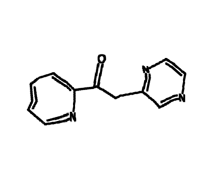 O=C(Cc1cnccn1)c1ccccn1